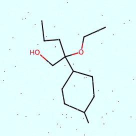 CCCC(CO)(OCC)C1CCC(C)CC1